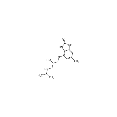 Cc1cc(OCC(O)CNC(C)C)c2[nH]c(=O)[nH]c2c1